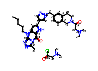 CCCCCn1c2cc(-c3cnn(Cc4ccc5c(c4)CCN(C(=O)CN(C)C)C5)c3)[nH]c2c(=O)n2c(C)nnc12.CN(C)CC(=O)Cl